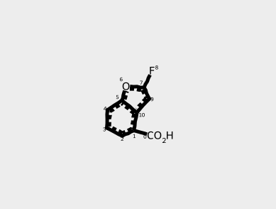 O=C(O)c1cccc2oc(F)cc12